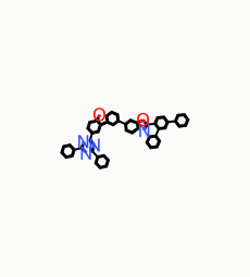 c1ccc(-c2ccc(-c3nc4ccc(-c5ccc6oc7ccc(-c8nc(-c9ccccc9)nc(-c9ccccc9)n8)cc7c6c5)cc4o3)c(-c3ccccc3)c2)cc1